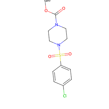 CC(C)(C)OC(=O)N1CCN(S(=O)(=O)c2ccc(Cl)cc2)CC1